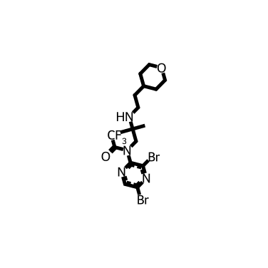 CC(C)(CN(C(=O)C(F)(F)F)c1ncc(Br)nc1Br)NCCC1CCOCC1